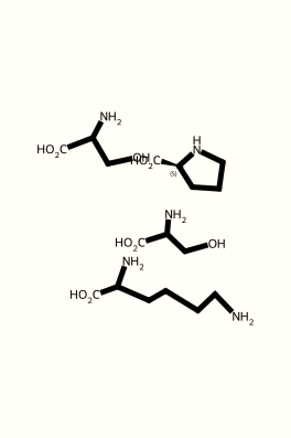 NC(CO)C(=O)O.NC(CO)C(=O)O.NCCCCC(N)C(=O)O.O=C(O)[C@@H]1CCCN1